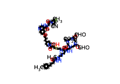 C/C(=N\CCCCC(NC(=O)CN1CCN(COC=O)CCN(COC=O)CCN(CC(=O)O)CC1)C(=O)NCCSC[C@@H](O)C(=O)N1CCC(CCCOc2ccc3nccc(C(=O)NCC(=O)N4CC(C)(F)C[C@@H]4C#N)c3c2)CC1)NC(=O)CCCc1ccc(C)cc1